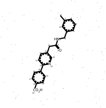 Cc1cccc(CNC(=O)Cc2ccc(-c3ccc(C(=O)O)cc3)nc2)c1